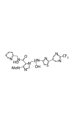 CNc1ncn(CC(O)Nc2csc(-c3cnc(C(F)(F)F)nc3)n2)c1C(=O)N(O)Cc1ccccn1